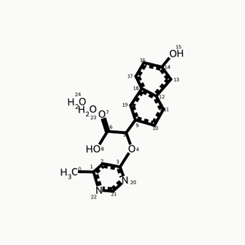 Cc1cc(OC(C(=O)O)c2ccc3cc(O)ccc3c2)ncn1.O.O